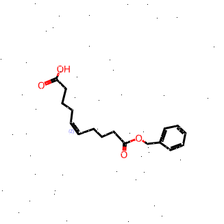 O=C(O)CCC/C=C\CCCC(=O)OCc1ccccc1